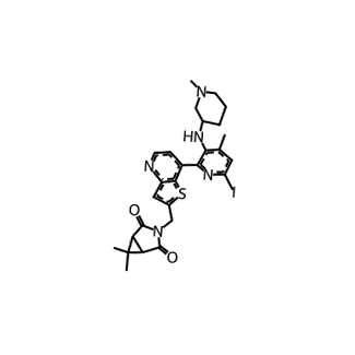 Cc1cc(I)nc(-c2ccnc3cc(CN4C(=O)C5C(C4=O)C5(C)C)sc23)c1NC1CCCN(C)C1